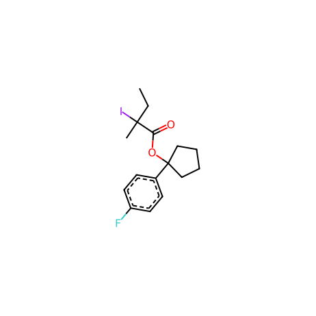 CCC(C)(I)C(=O)OC1(c2ccc(F)cc2)CCCC1